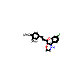 COc1ccc(C=CC(=O)C2OCCNC2c2ccc(F)cc2)cc1OC